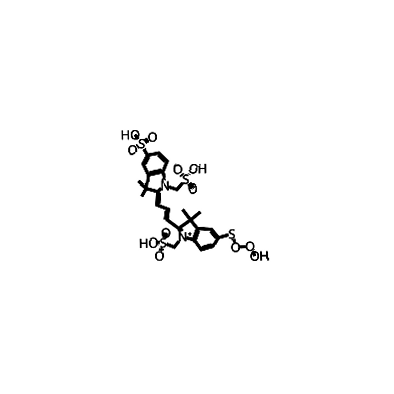 CC1(C)C(=CC=CC2=[N+](CS(=O)(=O)O)c3ccc(SOOO)cc3C2(C)C)N(CS(=O)(=O)O)c2ccc(S(=O)(=O)O)cc21